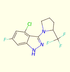 Fc1cc(Cl)c2c(N3CCCC3C(F)(F)F)n[nH]c2c1